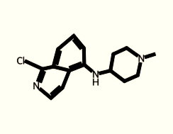 CN1CCC(Nc2cccc3c(Cl)nccc23)CC1